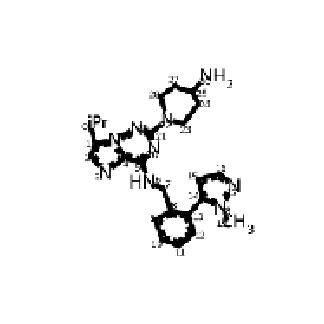 CC(C)c1cnc2c(NCc3ccccc3-c3ccnn3C)nc(N3CCC(N)CC3)nn12